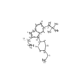 [2H]C([2H])([2H])Nc1cc2c(cn1)nc([C@@H](C)O)n2C1CCC(CC#N)CC1